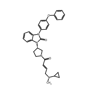 CN(C/C=C/C(=O)N1CC[C@@H](n2c(=O)n(-c3ccc(Oc4ccccc4)cc3)c3ccccc32)C1)C1CC1